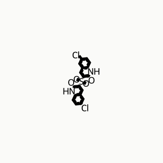 O=c1[nH]c2ccc(Cl)cc2cc1S(=O)(=O)c1cc2cc(Cl)ccc2[nH]c1=O